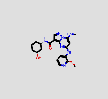 CNc1cc(Nc2cccnc2OC)nc2c(C(=O)N[C@H]3CCC[C@H](O)C3)cnn12